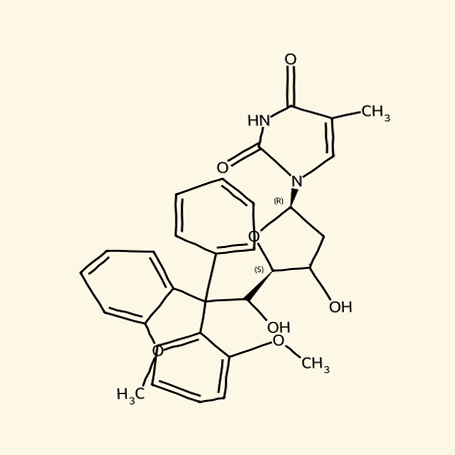 COc1ccccc1C(c1ccccc1)(c1ccccc1OC)C(O)[C@H]1O[C@@H](n2cc(C)c(=O)[nH]c2=O)C[C]1O